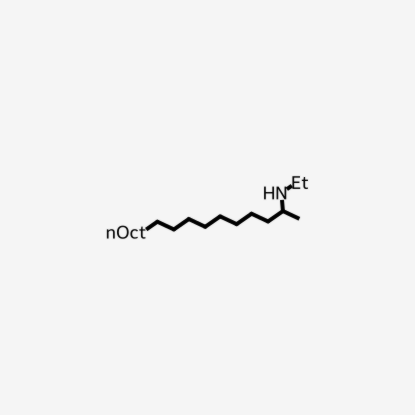 CCCCCCCCCCCCCCCCC(C)NCC